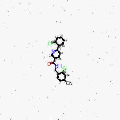 N#Cc1ccc(CNC(=O)c2ccc(-c3ccccc3Cl)nc2)c(Cl)c1